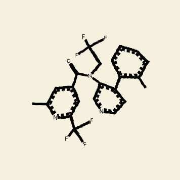 Cc1cc(C(=O)N(CC(F)(F)F)c2cnccc2-c2ccccc2C)cc(C(F)(F)F)n1